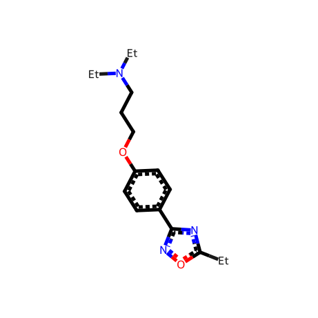 CCc1nc(-c2ccc(OCCCN(CC)CC)cc2)no1